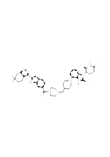 Cn1c(=O)n(C2CCC(=O)NC2=O)c2cccc(N3CCC(CN4CCN(C(=O)c5ccc6cc(-c7n[nH]c8c7CCC(C)(C)C8)[nH]c6c5)CC4)CC3)c21